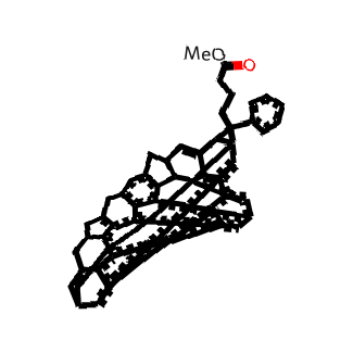 COC(=O)CCCC1(c2ccccc2)C2C3=CC4Cc5cc6c7c8c5C4c4c3c3c5c9c%10c%11c%12c%13c(c7c7c8c4c3c%10c%127)=C(C6)CC%13CC%11=CC9CC521